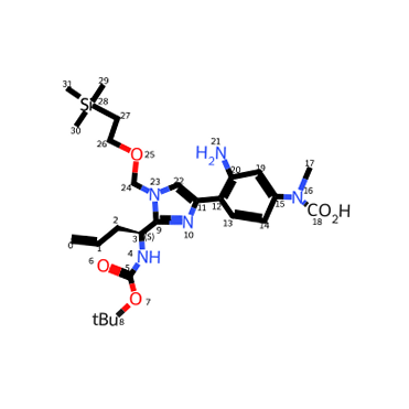 C=CC[C@H](NC(=O)OC(C)(C)C)c1nc(-c2ccc(N(C)C(=O)O)cc2N)cn1COCC[Si](C)(C)C